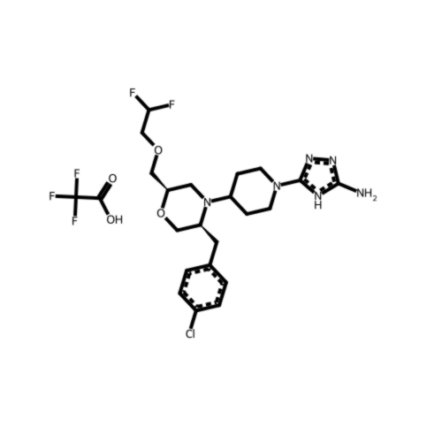 Nc1nnc(N2CCC(N3C[C@H](COCC(F)F)OC[C@@H]3Cc3ccc(Cl)cc3)CC2)[nH]1.O=C(O)C(F)(F)F